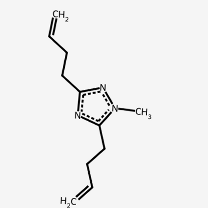 C=CCCc1nc(CCC=C)n(C)n1